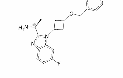 C[C@H](N)c1nc2ccc(F)cc2n1C1CC(OCc2ccccc2)C1